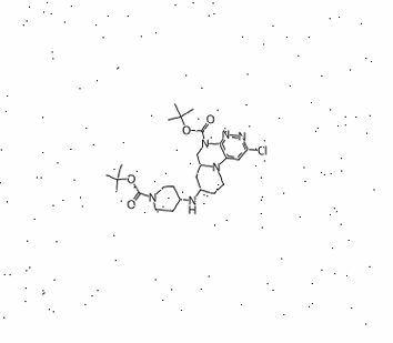 CC(C)(C)OC(=O)N1CCC(NC2CCN3c4cc(Cl)nnc4N(C(=O)OC(C)(C)C)CC3C2)CC1